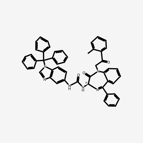 Cc1ccccc1C(=O)CN1C(=O)[C@H](NC(=O)Nc2ccc3c(c2)ncn3C(c2ccccc2)(c2ccccc2)c2ccccc2)N=C(c2ccccc2)c2ccccc21